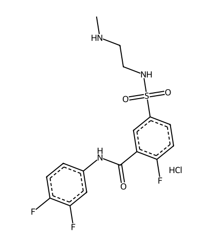 CNCCNS(=O)(=O)c1ccc(F)c(C(=O)Nc2ccc(F)c(F)c2)c1.Cl